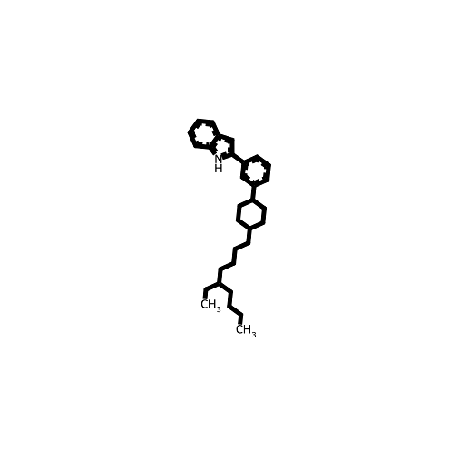 CCCCC(CC)CCCCC1CCC(c2cccc(-c3cc4ccccc4[nH]3)c2)CC1